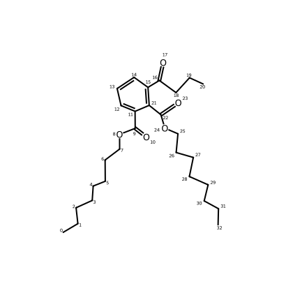 CCCCCCCCOC(=O)c1cccc(C(=O)CCC)c1C(=O)OCCCCCCCC